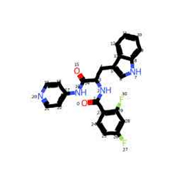 O=C(NC(Cc1c[nH]c2ccccc12)C(=O)Nc1ccncc1)c1ccc(F)cc1F